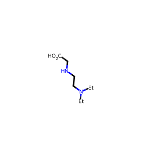 CCN(CC)CCNCC(=O)O